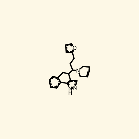 C1=CCN(C(CCc2ccco2)C2Cc3ccccc3-c3[nH]ncc32)CC1